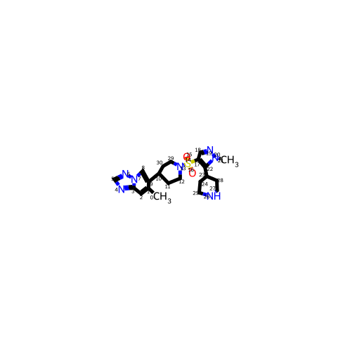 Cc1cc2ncnn2cc1C1CCN(S(=O)(=O)c2cnn(C)c2C2CCNCC2)CC1